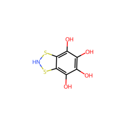 Oc1c(O)c(O)c2c(c1O)SNS2